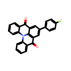 O=c1c2ccccc2n2c3ccccc3c(=O)c3cc(-c4ccc(F)cc4)cc1c32